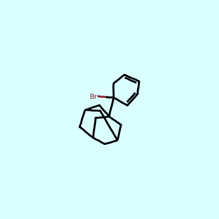 BrC1(C23CC4CC(CC(C4)C2)C3)C=CC=CC1